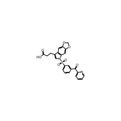 O=C(O)CCc1cn(S(=O)(=O)c2cccc(C(=O)c3ccccn3)c2)c2cc3c(cc12)OCO3